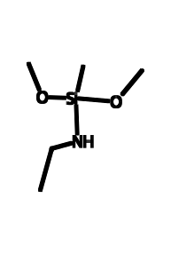 CCN[Si](C)(OC)OC